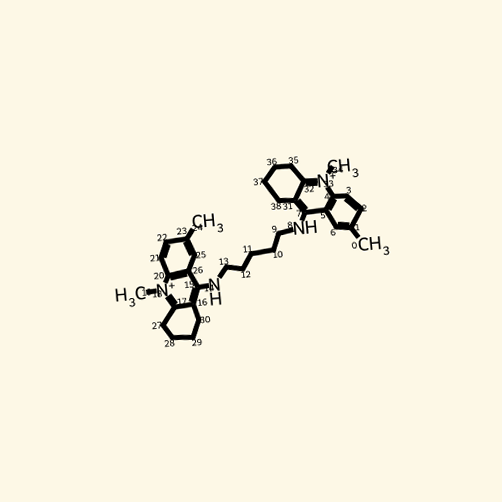 Cc1ccc2c(c1)c(NCCCCCNc1c3c([n+](C)c4ccc(C)cc14)CCCC3)c1c([n+]2C)CCCC1